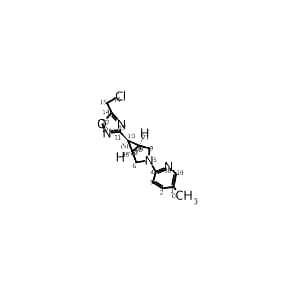 Cc1ccc(N2C[C@@H]3[C@H](C2)[C@@H]3c2noc(CCl)n2)nc1